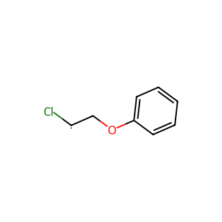 Cl[CH]COc1ccccc1